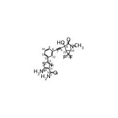 CN1C(=O)C(O)(C#Cc2cccc(-c3nc(C(N)=O)c(N)s3)c2)C2C1C2(F)F